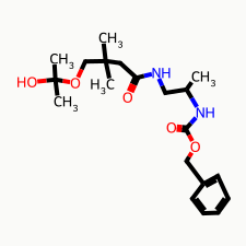 CC(CNC(=O)CC(C)(C)COC(C)(C)O)NC(=O)OCc1ccccc1